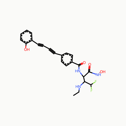 CCNC(C(F)F)C(NC(=O)c1ccc(C#CC#Cc2ccccc2O)cc1)C(=O)NO